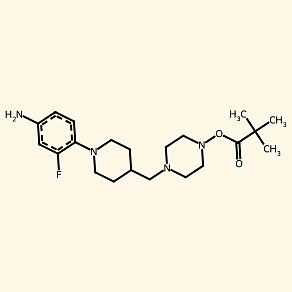 CC(C)(C)C(=O)ON1CCN(CC2CCN(c3ccc(N)cc3F)CC2)CC1